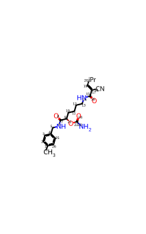 Cc1ccc(CNC(=O)C(CCCCNC(=O)C(C#N)=CC(C)C)OC(N)=O)cc1